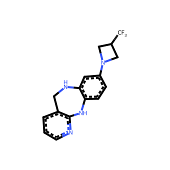 FC(F)(F)C1CN(c2ccc3c(c2)NCc2cccnc2N3)C1